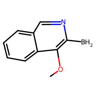 Bc1ncc2ccccc2c1OC